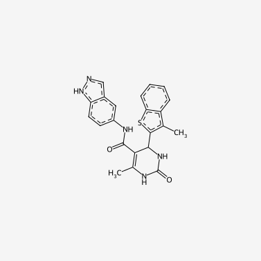 CC1=C(C(=O)Nc2ccc3[nH]ncc3c2)C(c2sc3ccccc3c2C)NC(=O)N1